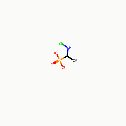 CC(NCl)P(=O)(O)O